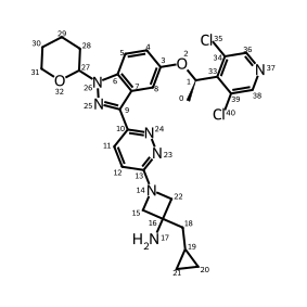 C[C@@H](Oc1ccc2c(c1)c(-c1ccc(N3CC(N)(CC4CC4)C3)nn1)nn2C1CCCCO1)c1c(Cl)cncc1Cl